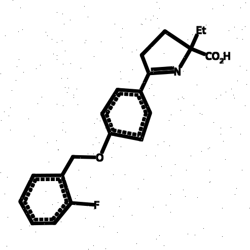 CCC1(C(=O)O)CCC(c2ccc(OCc3ccccc3F)cc2)=N1